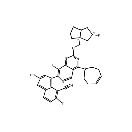 C#Cc1c(F)ccc2cc(O)cc(-c3ncc4c(N5CCC=CCC5)nc(OC[C@@]56CCCN5C[C@H](F)C6)nc4c3F)c12